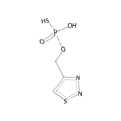 O=P(O)(S)OCc1csnn1